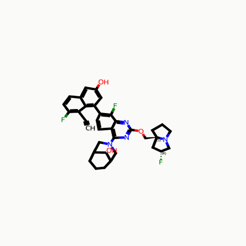 C#Cc1c(F)ccc2cc(O)cc(-c3ccc4c(N5CC6CCCC(C5)C6O)nc(OC[C@@]56CCCN5C[C@H](F)C6)nc4c3F)c12